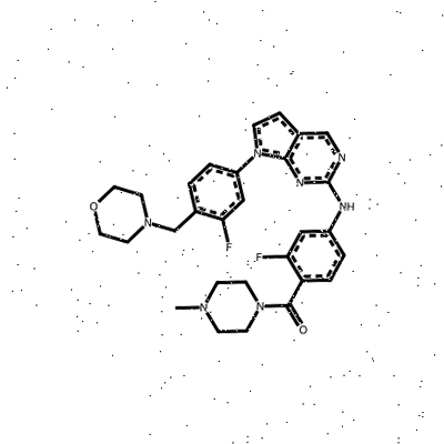 CN1CCN(C(=O)c2ccc(Nc3ncc4ccn(-c5ccc(CN6CCOCC6)c(F)c5)c4n3)cc2F)CC1